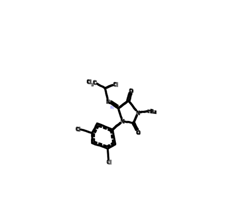 CCCCN1C(=O)/C(=N\C(Cl)C(Cl)(Cl)Cl)N(c2cc(Cl)cc(Cl)c2)C1=O